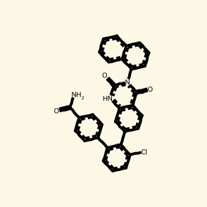 NC(=O)c1ccc(-c2cccc(Cl)c2-c2ccc3c(=O)n(-c4cccc5ccccc45)c(=O)[nH]c3c2)cc1